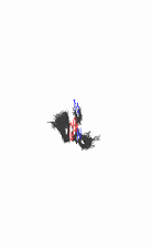 CC(=COc1ccccc1)C(=Nc1ccccc1)Oc1cccnc1